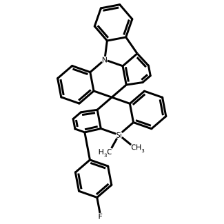 C[Si]1(C)c2ccccc2C2(c3ccccc3-n3c4ccccc4c4cccc2c43)c2cccc(-c3ccc(F)cc3)c21